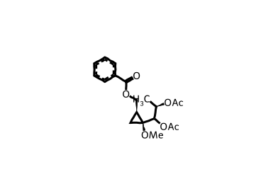 CO[C@@]1(C(OC(C)=O)[C@@H](C)OC(C)=O)C[C@H]1COC(=O)c1ccccc1